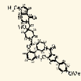 COc1ccc(-c2cc(C)c(C(=O)N3CC[C@@H](C(=O)N4CCC(O)(Cn5cnc6c(ccn6C)c5=O)CC4)[C@H](c4ccccc4)C3)s2)cn1